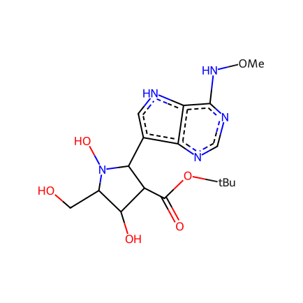 CONc1ncnc2c(C3C(C(=O)OC(C)(C)C)C(O)C(CO)N3O)c[nH]c12